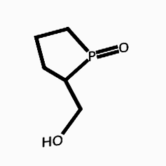 O=[P]1CCCC1CO